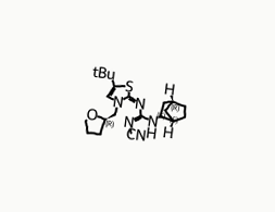 CC(C)(C)c1cn(C[C@H]2CCCO2)c(=NC(=NC#N)N[C@H]2C[C@@H]3CC[C@H]2C3)s1